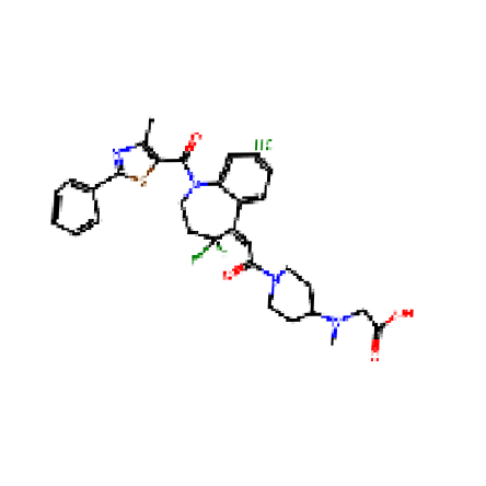 Cc1nc(-c2ccccc2)sc1C(=O)N1CCC(F)(F)C(=CC(=O)N2CCC(N(C)CC(=O)O)CC2)c2ccccc21.Cl